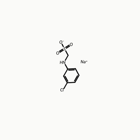 O=S(=O)([O-])CNc1cccc(Cl)c1.[Na+]